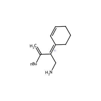 C=C(CCCC)/C(CN)=C1\C=CCCC1